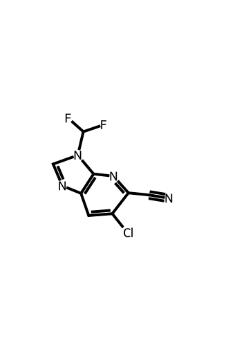 N#Cc1nc2c(cc1Cl)ncn2C(F)F